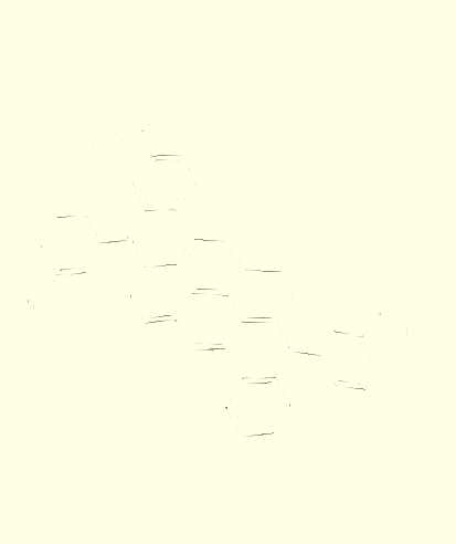 C[Si](C)(C)c1cccc(N(c2ccccc2)c2ccc3ccc4c(N(c5cccc(C#N)c5)c5cccc([Si](C)(C)C)c5)ccc5ccc2c3c54)c1